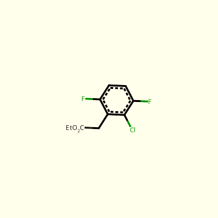 CCOC(=O)Cc1c(F)ccc(F)c1Cl